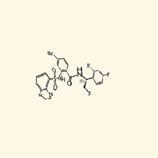 O=C(N[C@H](CF)c1ccc(F)cc1F)c1ccc(Br)cc1NS(=O)(=O)c1cccc2nccnc12